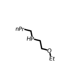 CCCCPCCOCC